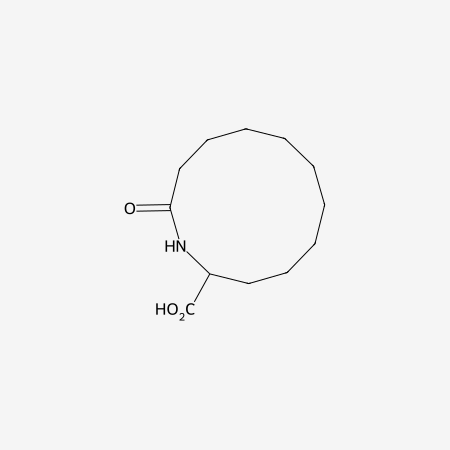 O=C1CCCCCCCCCC(C(=O)O)N1